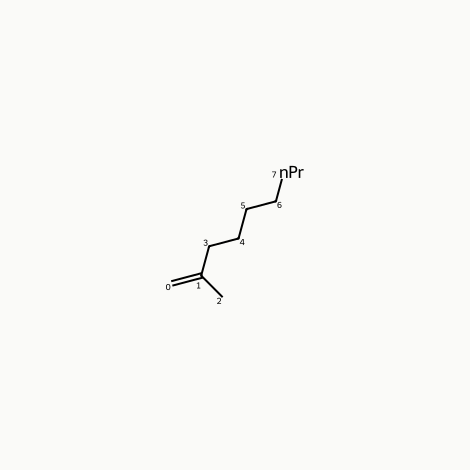 C=C(C)CCCCCCC